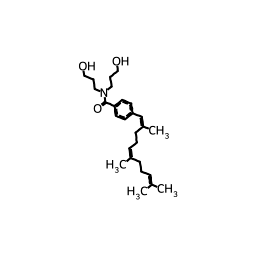 CC(C)=CCCC(C)=CCCC(C)=Cc1ccc(C(=O)N(CCCO)CCCO)cc1